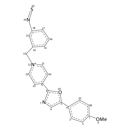 COc1ccc(-c2cnc(-c3cc[n+](Cc4cccc(N=S)c4)cc3)o2)cc1